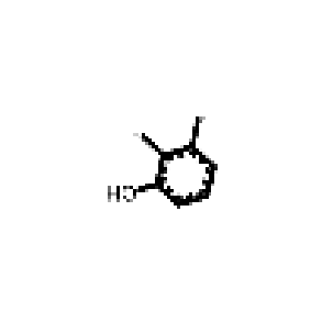 [CH2]c1cccc(O)c1[CH2]